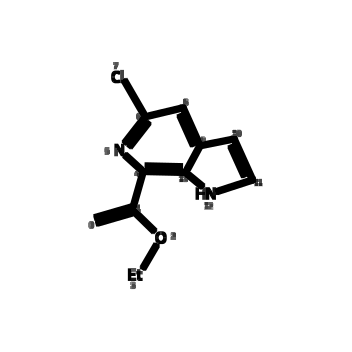 C=C(OCC)c1nc(Cl)cc2cc[nH]c12